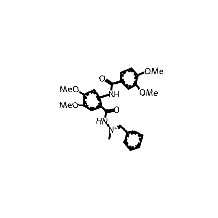 COc1ccc(C(=O)Nc2cc(OC)c(OC)cc2C(=O)N[N+](C)=Cc2ccccc2)cc1OC